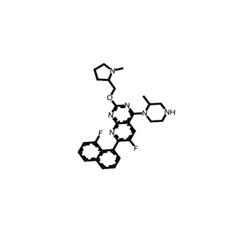 CC1CNCCN1c1nc(OCC2CCCN2C)nc2nc(-c3cccc4cccc(F)c34)c(F)cc12